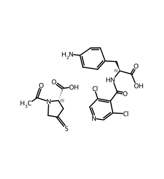 CC(=O)N1CC(=S)C[C@H]1C(=O)O.Nc1ccc(C[C@H](NC(=O)c2c(Cl)cncc2Cl)C(=O)O)cc1